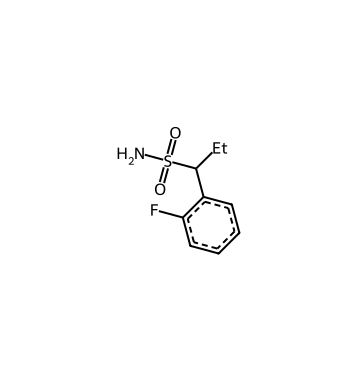 CCC(c1ccccc1F)S(N)(=O)=O